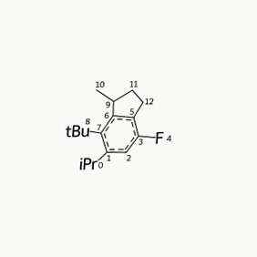 CC(C)c1cc(F)c2c(c1C(C)(C)C)C(C)CC2